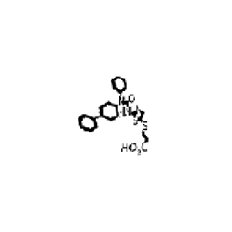 O=C(O)CCSc1cnc(NC(=O)N(C2CCCCC2)[C@H]2CC[C@H](C3C=CC=CC3)CC2)s1